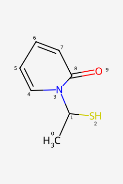 CC(S)n1ccccc1=O